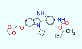 CC(OC(=O)Nc1ccc(-c2c(N)c3ccc(OCC4OCCO4)cc3n2C2CCC2)cc1)C(C)(C)C